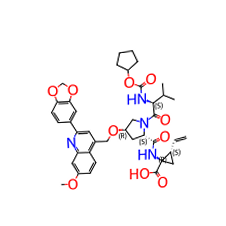 C=C[C@@H]1C[C@]1(NC(=O)[C@@H]1C[C@@H](OCc2cc(-c3ccc4c(c3)OCO4)nc3cc(OC)ccc23)CN1C(=O)[C@@H](NC(=O)OC1CCCC1)C(C)C)C(=O)O